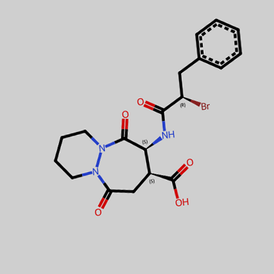 O=C(N[C@@H]1C(=O)N2CCCCN2C(=O)C[C@@H]1C(=O)O)[C@H](Br)Cc1ccccc1